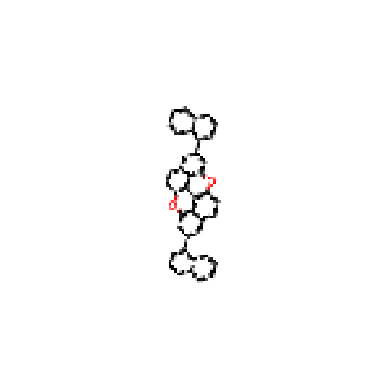 c1ccc2c(-c3cc4ccc5oc6cc(-c7cccc8ccccc78)cc7ccc8oc(c3)c4c5-c8c76)cccc2c1